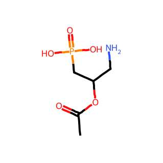 CC(=O)OC(CN)CP(=O)(O)O